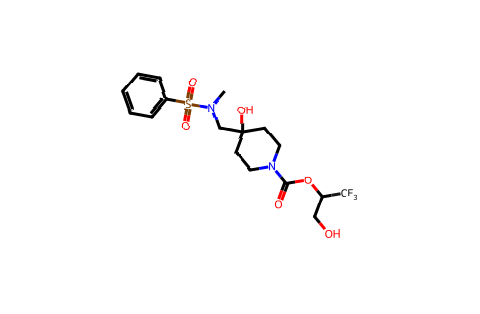 CN(CC1(O)CCN(C(=O)OC(CO)C(F)(F)F)CC1)S(=O)(=O)c1ccccc1